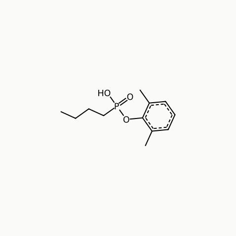 CCCCP(=O)(O)Oc1c(C)cccc1C